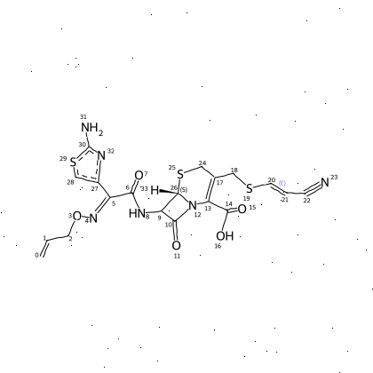 C=CCON=C(C(=O)NC1C(=O)N2C(C(=O)O)=C(CS/C=C/C#N)CS[C@@H]12)c1csc(N)n1